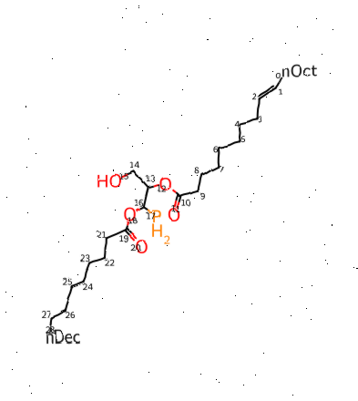 CCCCCCCCC=CCCCCCCCC(=O)OC(CO)C(P)OC(=O)CCCCCCCCCCCCCCCCC